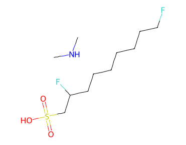 CNC.O=S(=O)(O)CC(F)CCCCCCCF